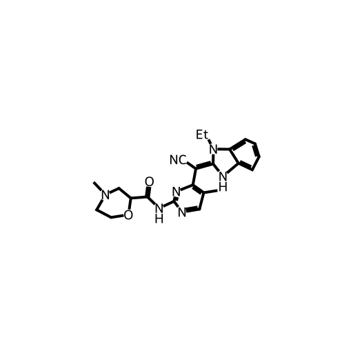 CCN1C(=C(C#N)c2nc(NC(=O)C3CN(C)CCO3)ncc2C)Nc2ccccc21